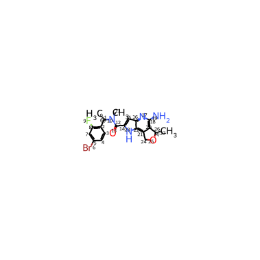 C[C@H](c1ccc(Br)cc1F)N(C)C(=O)c1cc2nc(N)c3c(c2[nH]1)CO[C@@H]3C